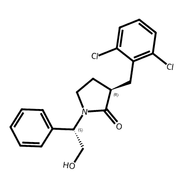 O=C1[C@H](Cc2c(Cl)cccc2Cl)CCN1[C@H](CO)c1ccccc1